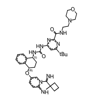 CC1(C(=N)n2cc(O[C@@H]3CC[C@H](NC(=O)Nc4cc(C(C)(C)C)nc(C(=O)NCCN5CCOCC5)n4)c4ccccc43)ccc2=N)CCC1